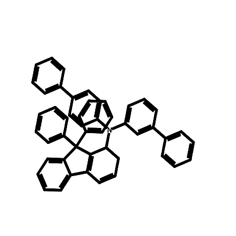 C1=CC2=C(C(N(c3ccc(-c4ccccc4)cc3)c3cccc(-c4ccccc4)c3)C1)C(c1ccccc1)(c1ccccc1)c1ccccc12